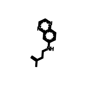 C=C(C)CCNc1ccc2nccnc2c1